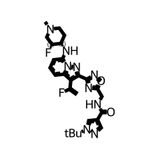 C=C(F)c1c(-c2noc(CNC(=O)c3cnn(C(C)(C)C)c3)n2)nn2c(N[C@@H]3CCN(C)C[C@@H]3F)cccc12